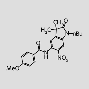 CCCCN1C(=O)C(C)(C)c2cc(NC(=O)c3ccc(OC)cc3)c([N+](=O)[O-])cc21